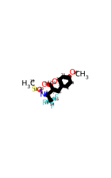 COc1ccc2cc(/C(=N\OSC)C(F)(F)F)c(=O)oc2c1